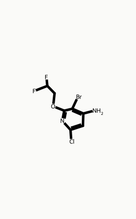 Nc1cc(Cl)nc(OCC(F)F)c1Br